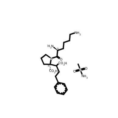 CS(N)(=O)=O.NCCCC[C@H](N)C(=O)N1CCC[C@]1(C(=O)O)C(CCc1ccccc1)C(=O)O